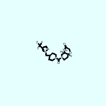 O=C1CO[C@@H]2CCN(C(=O)N3CCC(Cn4cc(C(F)(F)F)cn4)CC3)C[C@@H]2N1